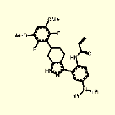 C=CC(=O)Nc1ccc(N(CCC)CCC)cc1-c1n[nH]c2c1CCC(c1c(F)c(OC)cc(OC)c1F)C2